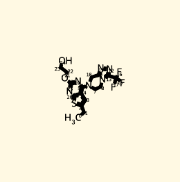 CCc1cc2c(N3CCn4c(nnc4C(F)(F)F)C3)nc(OCCO)nc2s1